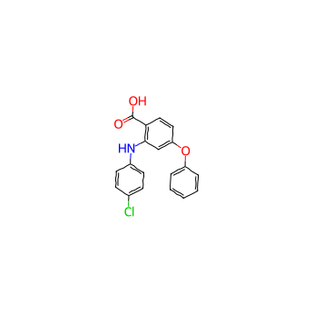 O=C(O)c1ccc(Oc2ccccc2)cc1Nc1ccc(Cl)cc1